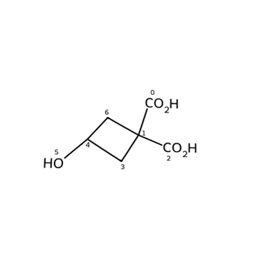 O=C(O)C1(C(=O)O)CC(O)C1